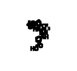 C=C(C)S(=O)(=O)Nc1ccccc1Nc1nc(NC2CCCN(C(=O)CO)C2)ncc1C(F)(F)F